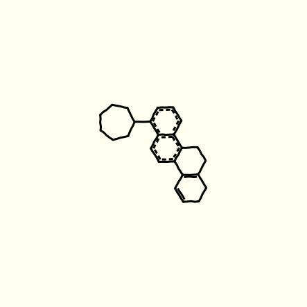 C1=CC2=C(CC1)CCc1c2ccc2c(C3CCCCCC3)cccc12